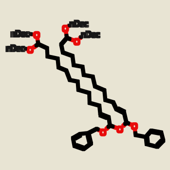 CCCCCCCCCCOC(CCCCCCCCCCCC=CC(OCc1ccccc1)OC(C=CCCCCCCCCCCCC(OCCCCCCCCCC)OCCCCCCCCCC)OCc1ccccc1)OCCCCCCCCCC